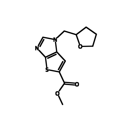 COC(=O)c1cc2c(ncn2CC2CCCO2)s1